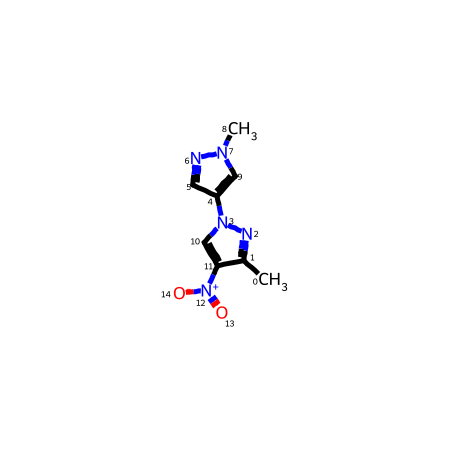 Cc1nn(-c2cnn(C)c2)cc1[N+](=O)[O-]